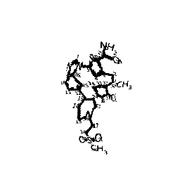 C[C@@H](Cc1cc(-n2cnc3ccc(C4CCN(CCS(C)(=O)=O)CC4)cc32)sc1C(N)=O)c1ccccc1Cl